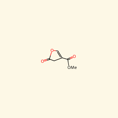 COC(=O)C1=COC(=O)C1